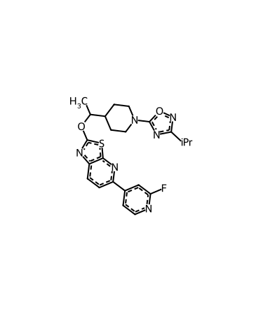 CC(C)c1noc(N2CCC(C(C)Oc3nc4ccc(-c5ccnc(F)c5)nc4s3)CC2)n1